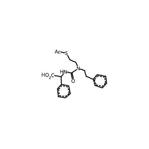 CC(=O)SCCN(CCc1ccccc1)C(=O)NC(C(=O)O)c1ccccc1